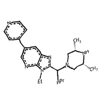 CCCC(c1nc2cc(-c3ccncc3)cnc2n1CC)N1C[C@@H](C)N[C@@H](C)C1